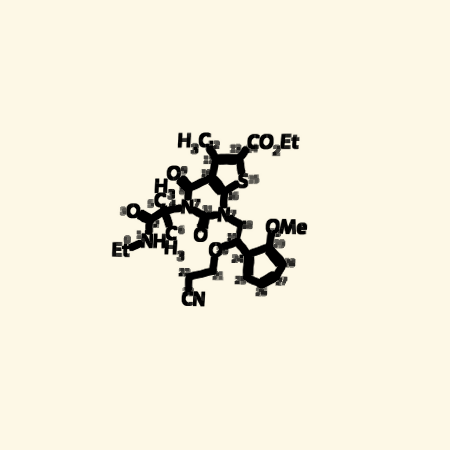 CCNC(=O)C(C)(C)n1c(=O)c2c(C)c(C(=O)OCC)sc2n(C[C@H](OCCC#N)c2ccccc2OC)c1=O